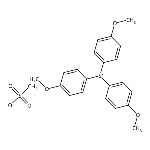 COc1ccc([S+](c2ccc(OC)cc2)c2ccc(OC)cc2)cc1.CS(=O)(=O)[O-]